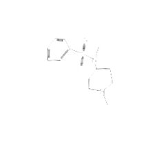 CN1CCC(N(C)S(=O)(=O)c2[c]cccc2)CC1